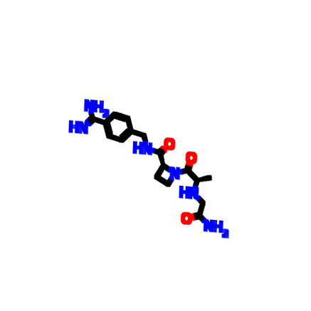 C[C@@H](NCC(N)=O)C(=O)N1CC[C@H]1C(=O)NCc1ccc(C(=N)N)cc1